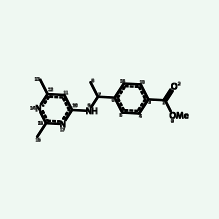 COC(=O)c1ccc(C(C)Nc2cc(C)nc(C)n2)cc1